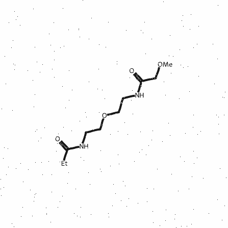 CCC(=O)NCCOCCNC(=O)COC